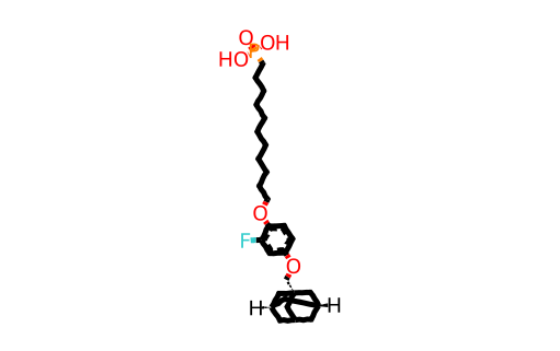 O=P(O)(O)CCCCCCCCCCCOc1ccc(OC[C@]23CC4C[C@H](C[C@@H](C4)C2)C3)cc1F